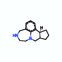 c1cc2c3c(c1)[C@H]1CCCC1CN3CCNC2